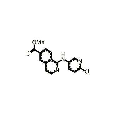 COC(=O)c1ccc2c(Nc3ccc(Cl)nc3)nccc2c1